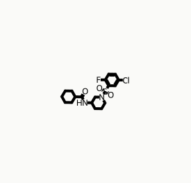 O=C(NC1CCCN(S(=O)(=O)c2cc(Cl)ccc2F)C1)C1CCCCC1